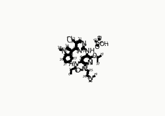 C=CC(=O)Nc1cc(Nc2ncc(Cl)c(-c3cn(C)c4ccccc34)n2)c(OC(C)C)nc1N(C)CCN(C)C.CS(=O)(=O)O